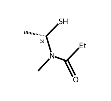 CCC(=O)N(C)[C@H](C)S